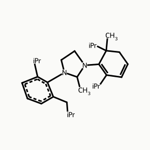 CC(C)Cc1cccc(C(C)C)c1N1CCN(C2=C(C(C)C)C=CCC2(C)C(C)C)C1C